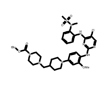 COc1cc(N2CCC(CN3CCN(C(=O)OC(C)(C)C)CC3)CC2)ccc1Nc1ncc(Cl)c(Nc2ccccc2N(C)S(C)(=O)=O)n1